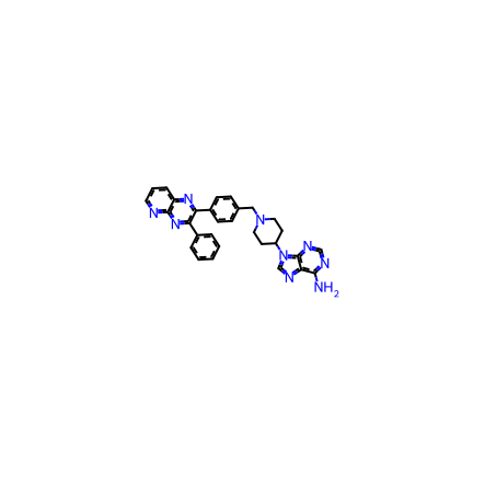 Nc1ncnc2c1ncn2C1CCN(Cc2ccc(-c3nc4cccnc4nc3-c3ccccc3)cc2)CC1